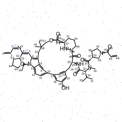 C=C/C=N\C(=C\c1c2c3cc(ccc3n1CC)-c1cc(O)cc(c1)C[C@H](NC(=O)[C@H](C(C)C)N(C)C(=O)[C@H]1CCN(C(=O)C=C)C1)C(=O)N1CCC[C@H](N1)C(=O)OCC(C)(C)C2)[C@@H]1CCCO1